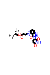 CC(C)COC(=O)CCCNc1cccc2nnn(C3CCC(=O)NC3=O)c(=O)c12